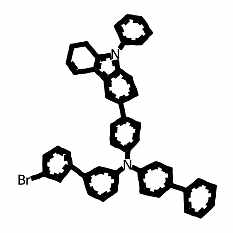 Brc1cccc(-c2cccc(N(c3ccc(-c4ccccc4)cc3)c3ccc(-c4ccc5c(c4)c4c(n5-c5ccccc5)CCC=C4)cc3)c2)c1